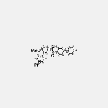 COc1ccc(N(N)C(=O)c2ccc(-c3ccccc3)cc2)cc1C1CCN(C(C)C)CC1